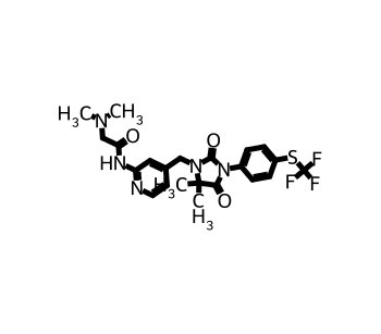 CN(C)CC(=O)Nc1cc(CN2C(=O)N(c3ccc(SC(F)(F)F)cc3)C(=O)C2(C)C)ccn1